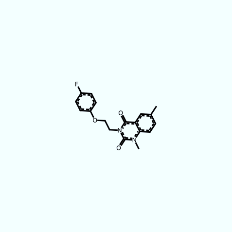 Cc1ccc2c(c1)c(=O)n(CCOc1ccc(F)cc1)c(=O)n2C